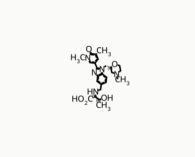 Cc1cc(-c2nc3cc(CN[C@H](C(=O)O)[C@@H](C)O)ccc3n2C[C@H]2CN(C)CCO2)cn(C)c1=O